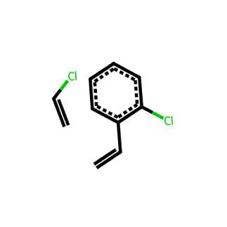 C=CCl.C=Cc1ccccc1Cl